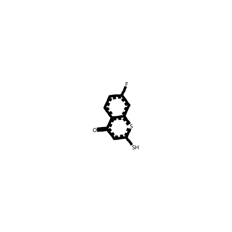 O=c1cc(S)sc2cc(F)ccc12